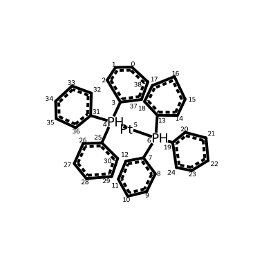 c1ccc([PH]([Pt][PH](c2ccccc2)(c2ccccc2)c2ccccc2)(c2ccccc2)c2ccccc2)cc1